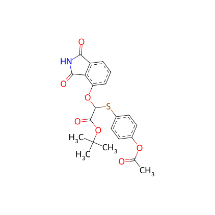 CC(=O)Oc1ccc(SC(Oc2cccc3c2C(=O)NC3=O)C(=O)OC(C)(C)C)cc1